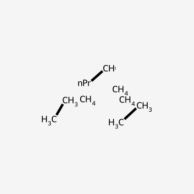 C.C.C.CC.CC.[CH]CCC